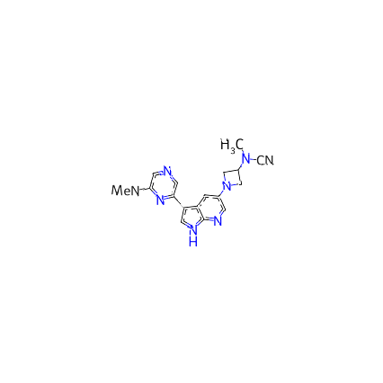 CNc1cncc(-c2c[nH]c3ncc(N4CC(N(C)C#N)C4)cc23)n1